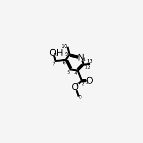 COC(=O)c1cc(CO)c(C)nc1C